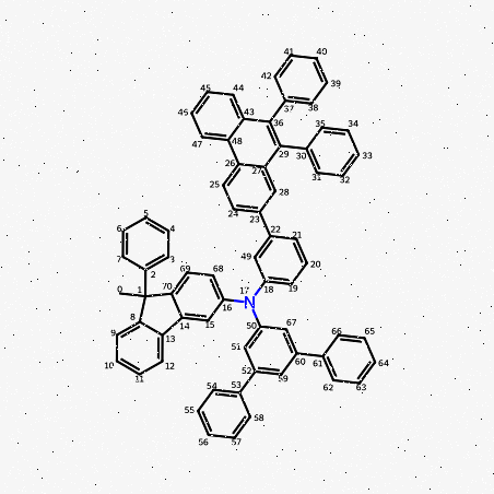 CC1(c2ccccc2)c2ccccc2-c2cc(N(c3cccc(-c4ccc5c(c4)c(-c4ccccc4)c(-c4ccccc4)c4ccccc45)c3)c3cc(-c4ccccc4)cc(-c4ccccc4)c3)ccc21